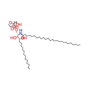 CCCCCCCCCCCCCCCCCCCCCCCCCC(=O)N[C@@H](CO[C@H]1OC2CO[C@H](C2O)C1O)C(O)[C@H](O)CCCCCCCCCCCCCC